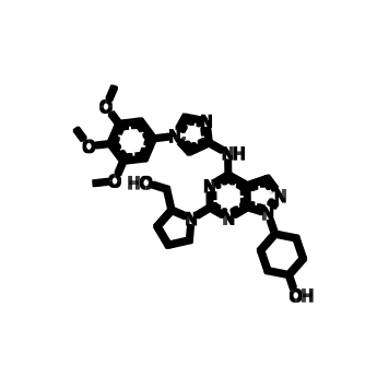 COc1cc(-n2cnc(Nc3nc(N4CCCC4CO)nc4c3cnn4C3CCC(O)CC3)c2)cc(OC)c1OC